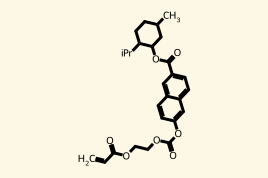 C=CC(=O)OCCOC(=O)Oc1ccc2cc(C(=O)OC3CC(C)CCC3C(C)C)ccc2c1